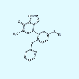 CCSc1ccc(Oc2ccccn2)c(-c2cn(C)c(=O)c3[nH]ccc23)c1